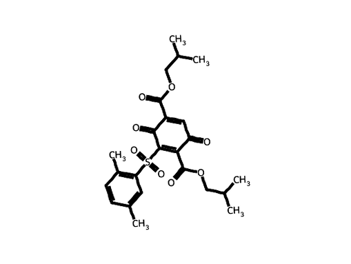 Cc1ccc(C)c(S(=O)(=O)C2=C(C(=O)OCC(C)C)C(=O)C=C(C(=O)OCC(C)C)C2=O)c1